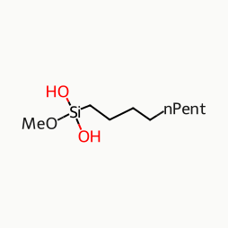 CCCCCCCCC[Si](O)(O)OC